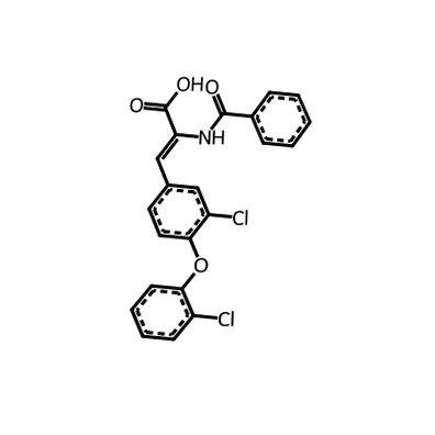 O=C(O)C(=Cc1ccc(Oc2ccccc2Cl)c(Cl)c1)NC(=O)c1ccccc1